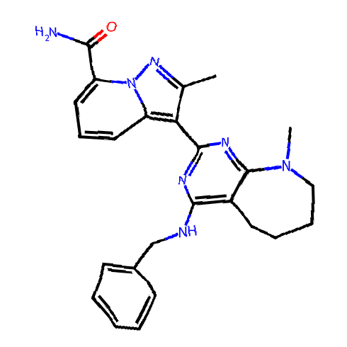 Cc1nn2c(C(N)=O)cccc2c1-c1nc(NCc2ccccc2)c2c(n1)N(C)CCCC2